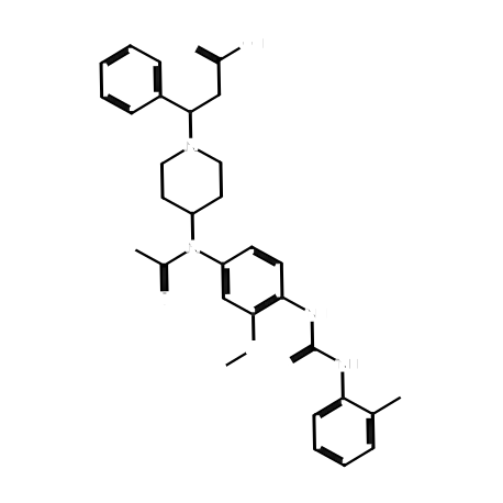 COc1cc(N(C(C)=O)C2CCN(C(CC(=O)O)c3ccccc3)CC2)ccc1NC(=O)Nc1ccccc1C